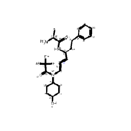 C[C@H](N)C(=O)N[C@H](/C=C/CN(C(=O)C(F)(F)F)C1CCC(O)CC1)CCc1ccccc1